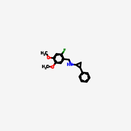 COc1cc(F)c(CNC2CC2c2ccccc2)cc1OC